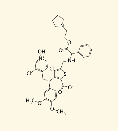 COc1ccc([C@H](Cc2c(Cl)c[n+](O)cc2Cl)c2cc(CNC(C(=O)OCCN3CCCC3)c3ccccc3)sc2C(=O)[O-])cc1OC